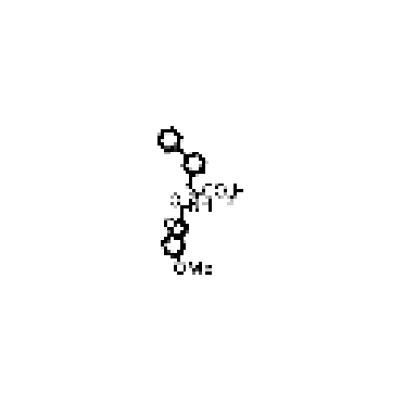 COc1ccc2oc(C(=O)N[C@@H](Cc3cccc(-c4ccccc4)c3)C(=O)O)cc2c1